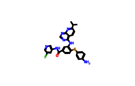 CC(C)c1ccc2c(Nc3cc(C(=O)Nc4cncc(F)c4)ccc3Sc3ccc(N)cc3)ncnc2n1